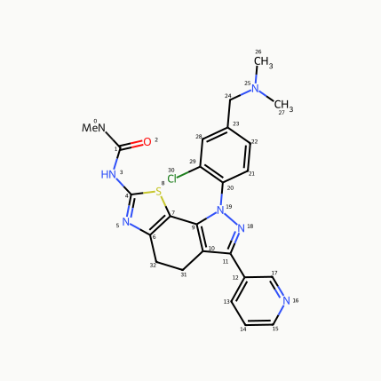 CNC(=O)Nc1nc2c(s1)-c1c(c(-c3cccnc3)nn1-c1ccc(CN(C)C)cc1Cl)CC2